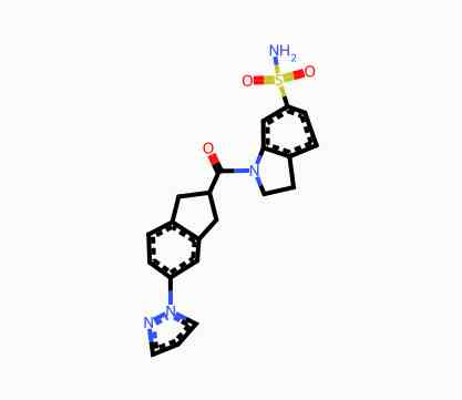 NS(=O)(=O)c1ccc2c(c1)N(C(=O)C1Cc3ccc(-n4cccn4)cc3C1)CC2